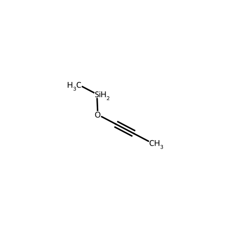 CC#CO[SiH2]C